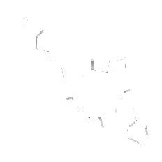 C[C@H](O)C(=O)CCCCC[C@@H]1NC(=O)[C@H]2CCCN2C(=O)[C@H](Cc2ccccc2)NC(=O)C(C)(C)NC1=O